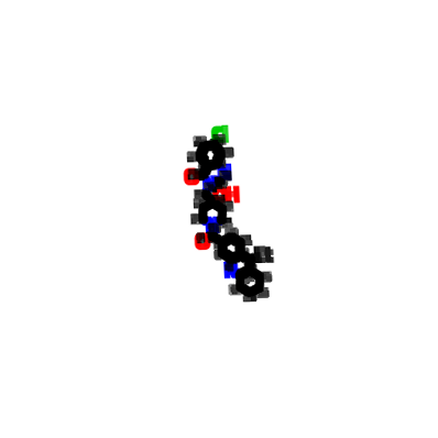 CCc1c2c(nc3cc(C(=O)N4CCC(O)(Cn5cnc6cc(Cl)ccc6c5=O)CC4)ccc13)CCCC2